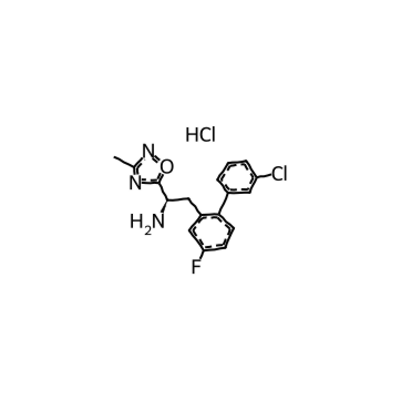 Cc1noc([C@H](N)Cc2cc(F)ccc2-c2cccc(Cl)c2)n1.Cl